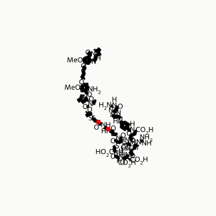 C=C1C[C@H]2C=Nc3cc(OCCCCCOc4cc(N)c(C(=O)N5CC(=C)C[C@H]5C5OCCN5C(=O)OCC(C)(C)SSCCC(=O)NCCNC(=O)CCN5C(=O)CC(SC[C@H](NC(=O)[C@H](CC(=O)O)NC(=O)[C@H](CC(=O)O)NC(=O)[C@H](CCCNC(=N)N)NC(=O)[C@H](CC(=O)O)NC(=O)CC[C@H](NC(=O)c6ccc(NCc7cnc8nc(N)[nH]c(=O)c8n7)cc6)C(=O)O)C(=O)O)C5=O)cc4OC)c(OC)cc3C(=O)N2C1